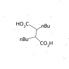 CCCCC(C(=O)O)C(CCCC)C(=O)O